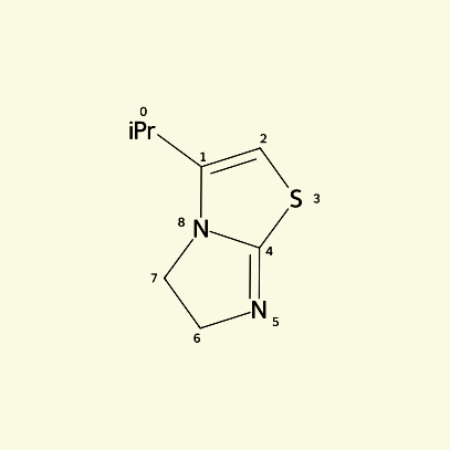 CC(C)C1=CSC2=NCCN12